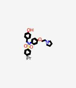 CC(C)c1ccc(S(=O)(=O)N(Cc2ccc(O)cc2)c2ccc(OCCN3CCCC3)cc2)cc1